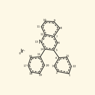 [Ir].c1ccc(-c2cc3ccccc3nc2-c2ccccc2)cc1